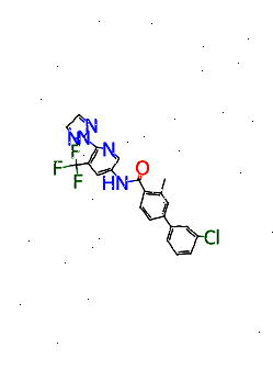 Cc1cc(-c2cccc(Cl)c2)ccc1C(=O)Nc1cnc(-n2nccn2)c(C(F)(F)F)c1